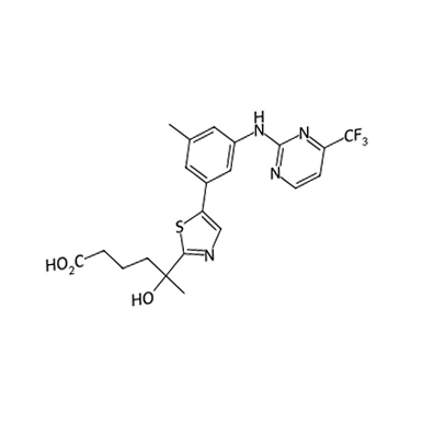 Cc1cc(Nc2nccc(C(F)(F)F)n2)cc(-c2cnc(C(C)(O)CCCC(=O)O)s2)c1